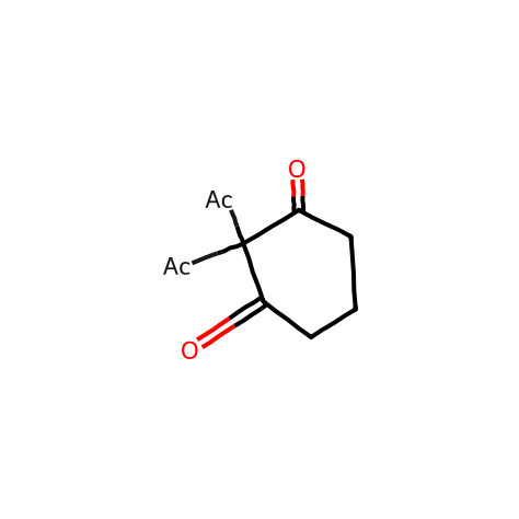 CC(=O)C1(C(C)=O)C(=O)CCCC1=O